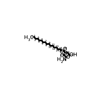 CCCCCCCCCCCCCCCCOC(=O)N(CC(=O)O)C(=O)CN